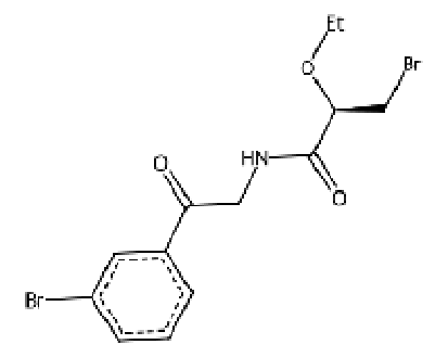 CCO[C@@H](CBr)C(=O)NCC(=O)c1cccc(Br)c1